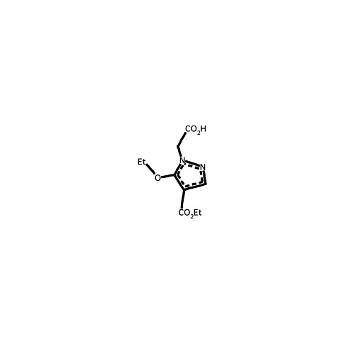 CCOC(=O)c1cnn(CC(=O)O)c1OCC